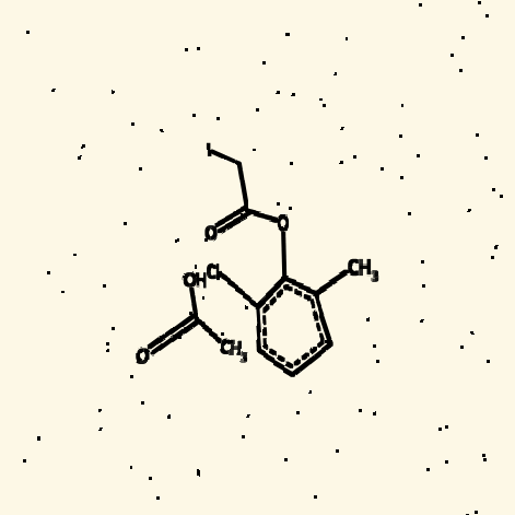 CC(=O)O.Cc1cccc(Cl)c1OC(=O)CI